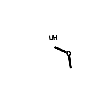 COC.[LiH]